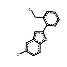 ClCc1ccccc1-c1cc2cc(Cl)ccc2o1